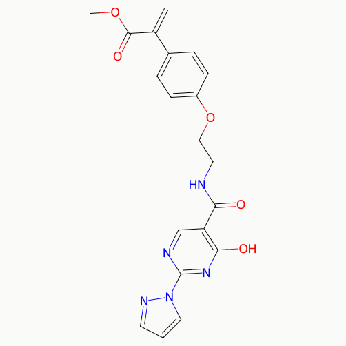 C=C(C(=O)OC)c1ccc(OCCNC(=O)c2cnc(-n3cccn3)nc2O)cc1